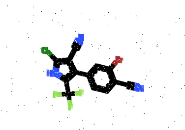 N#Cc1ccc(-c2c(C(F)(F)F)[nH]c(Cl)c2C#N)cc1Br